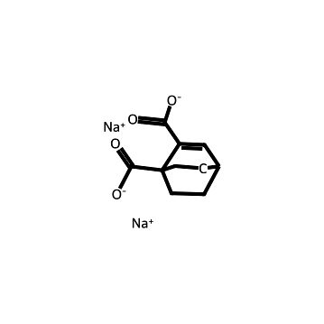 O=C([O-])C1=CC2CCC1(C(=O)[O-])CC2.[Na+].[Na+]